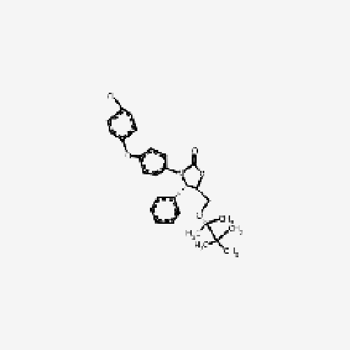 CC(C)(C)[Si](C)(C)OC[C@@H]1OC(=O)N(c2ccc(Oc3ccc(Cl)cc3)cc2)[C@H]1c1ccccc1